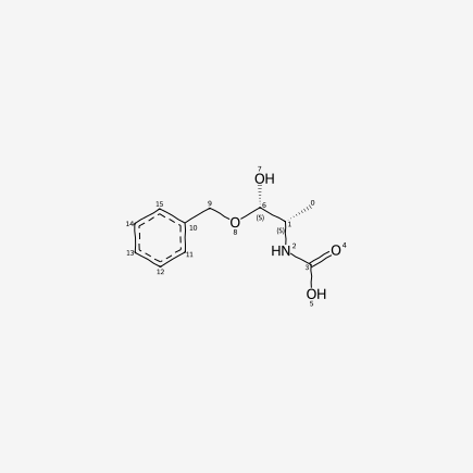 C[C@H](NC(=O)O)[C@@H](O)OCc1ccccc1